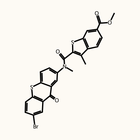 COC(=O)c1ccc2c(C)c(C(=O)N(C)c3ccc4sc5ccc(Br)cc5c(=O)c4c3)sc2c1